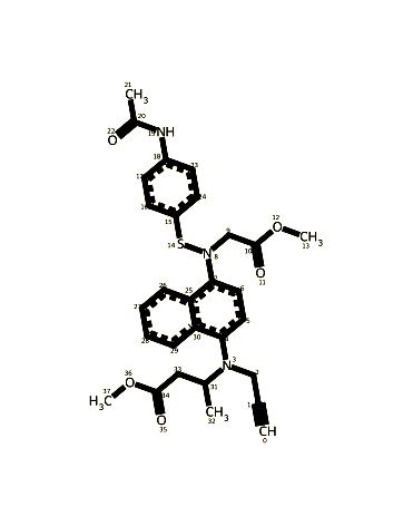 C#CCN(c1ccc(N(CC(=O)OC)Sc2ccc(NC(C)=O)cc2)c2ccccc12)C(C)CC(=O)OC